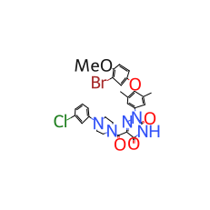 COc1ccc(Oc2c(C)cc(-n3nc(C(=O)N4CCN(c5cccc(Cl)c5)CC4)c(=O)[nH]c3=O)cc2C)cc1Br